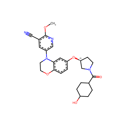 COc1ncc(N2CCOc3ccc(O[C@H]4CCN(C(=O)C5CCC(O)CC5)C4)cc32)cc1C#N